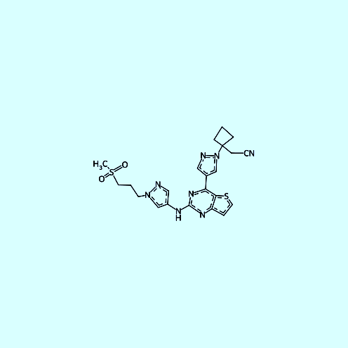 CS(=O)(=O)CCCn1cc(Nc2nc(-c3cnn(C4(CC#N)CCC4)c3)c3sccc3n2)cn1